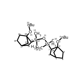 CCCCOC12CCC(CC1[Si](C)(C)O[Si](C)(C)C1CC3CCC1(OCCCC)C3)C2